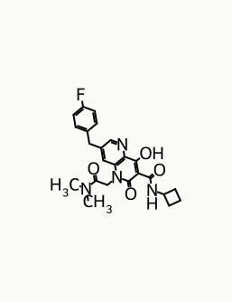 CN(C)C(=O)Cn1c(=O)c(C(=O)NC2CCC2)c(O)c2ncc(Cc3ccc(F)cc3)cc21